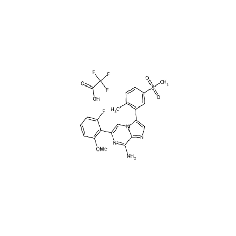 COc1cccc(F)c1-c1cn2c(-c3cc(S(C)(=O)=O)ccc3C)cnc2c(N)n1.O=C(O)C(F)(F)F